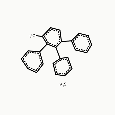 Oc1ccc(-c2ccccc2)c(-c2ccccc2)c1-c1ccccc1.S